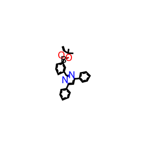 C=C1OB(c2cccc(-c3nc(-c4ccccc4)cc(-c4ccccc4)n3)c2)OC1(C)C